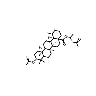 CC(=O)OC(C)OC(=O)[C@]12CC[C@@H](C)[C@H](C)[C@H]1C1=CC[C@@H]3[C@@]4(C)CC[C@H](OC(C)=O)C(C)(C)C4CC[C@@]3(C)[C@]1(C)CC2